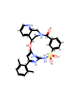 Cc1cccc(C)c1-c1cc2nc(n1)NS(=O)(=O)c1cccc(c1)C(=O)N1Cc3ncccc3C(C1)O2